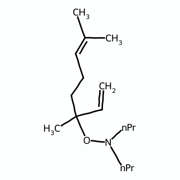 C=CC(C)(CCC=C(C)C)ON(CCC)CCC